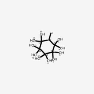 CC1C(O)(O)C(O)(O)C(O)(O)C(O)(O)C1(O)O